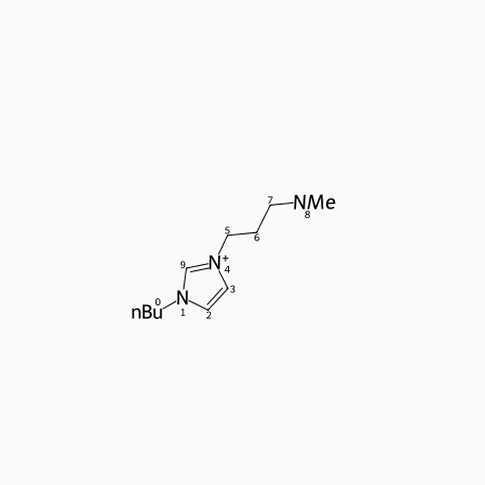 CCCCn1cc[n+](CCCNC)c1